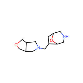 C1NCC2OC1CC2CN1CC2COCC2C1